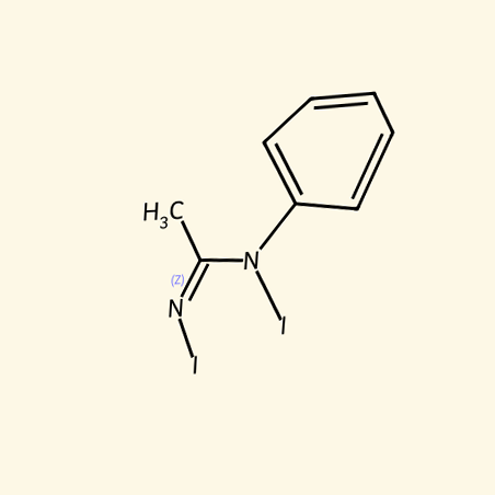 C/C(=N/I)N(I)c1ccccc1